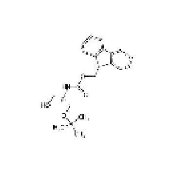 CC(C)(C)OC[C@H](CO)NC(=O)OCC1c2ccccc2-c2ccccc21